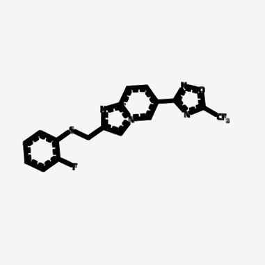 Fc1ccccc1SCc1cn2cc(-c3noc(C(F)(F)F)n3)ccc2n1